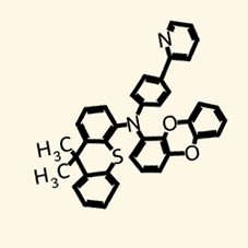 CC1(C)c2ccccc2Sc2c(N(c3ccc(-c4ccccn4)cc3)c3cccc4c3Oc3ccccc3O4)cccc21